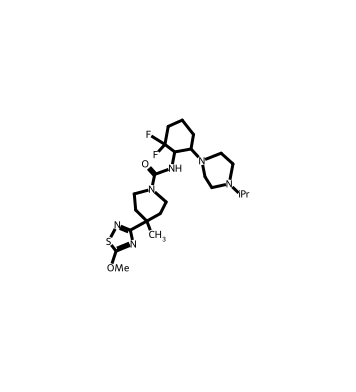 COc1nc(C2(C)CCN(C(=O)NC3C(N4CCN(C(C)C)CC4)CCCC3(F)F)CC2)ns1